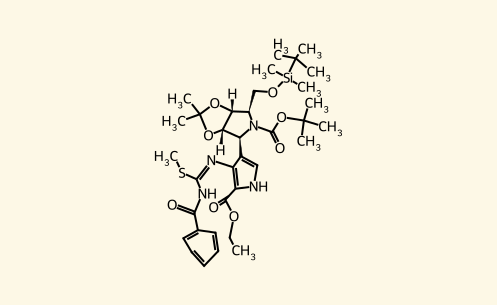 CCOC(=O)c1[nH]cc([C@H]2[C@@H]3OC(C)(C)O[C@@H]3[C@@H](CO[Si](C)(C)C(C)(C)C)N2C(=O)OC(C)(C)C)c1/N=C(\NC(=O)c1ccccc1)SC